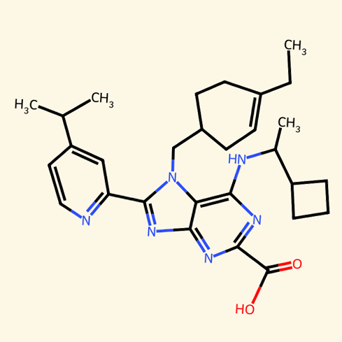 CCC1=CCC(Cn2c(-c3cc(C(C)C)ccn3)nc3nc(C(=O)O)nc(NC(C)C4CCC4)c32)CC1